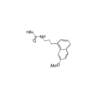 CCCCC(=O)NCCCc1cccc2ccc(OC)cc12